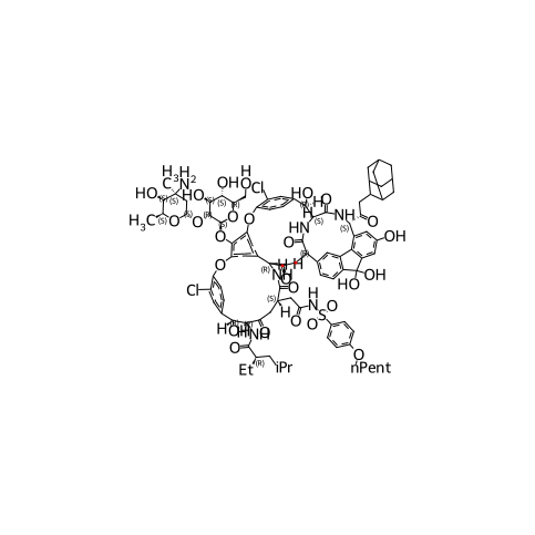 CCCCCOc1ccc(S(=O)(=O)NC(=O)C[C@@H]2CC(=O)[C@H](NC(=O)[C@H](CC)CC(C)C)[C@H](O)c3ccc(c(Cl)c3)Oc3cc4cc(c3O[C@@H]3O[C@H](CO)[C@@H](O)[C@H](O)[C@H]3O[C@H]3C[C@](C)(N)[C@H](O)[C@H](C)O3)Oc3ccc(cc3Cl)[C@@H](O)[C@@H]3NC(=O)[C@H](CC(=O)[C@@H]4NC2=O)c2ccc4c(c2)-c2c(cc(O)cc2C4(O)O)[C@@H](C(=O)CC2C4CC5CC(C4)CC2C5)NC3=O)cc1